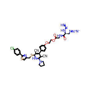 N#CC1=C(N2CCCC2)NC(SCc2csc(-c3ccc(Cl)cc3)n2)C(C#N)=C1c1ccc(OCCOC(=O)CNC(=O)[C@H](CN=[N+]=[N-])NN=N)cc1